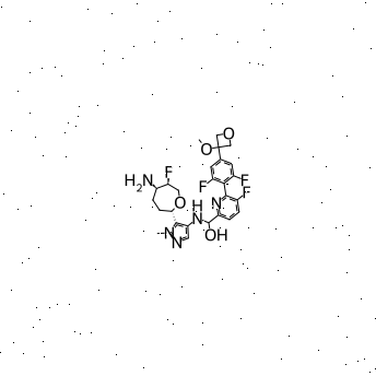 COC1(c2cc(F)c(-c3nc(C(O)Nc4cnn(C)c4[C@@H]4CC[C@@H](N)[C@@H](F)CO4)ccc3F)c(F)c2)COC1